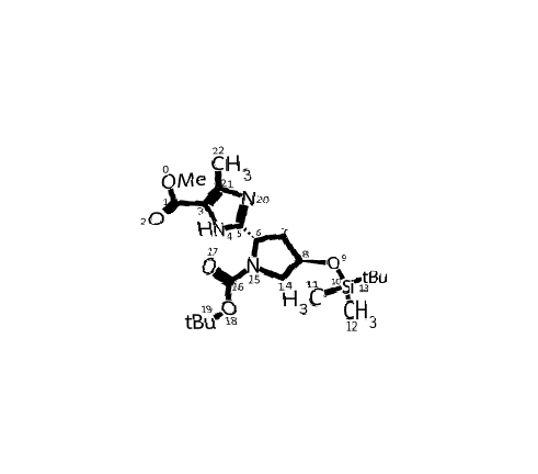 COC(=O)c1[nH]c([C@@H]2C[C@@H](O[Si](C)(C)C(C)(C)C)CN2C(=O)OC(C)(C)C)nc1C